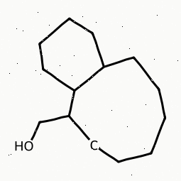 OCC1CCCCCCC2CCCCC12